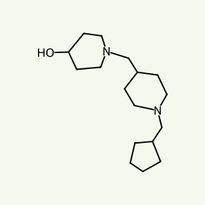 OC1CCN(CC2CCN(CC3CCCC3)CC2)CC1